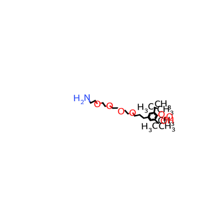 CC(C)(C)c1cc(CCCOCCOCCOCCOCCN)cc(C(C)(C)C)c1OC(=O)O